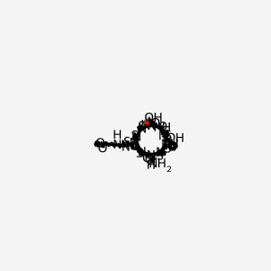 Cc1sc2nc1C(=O)N[C@@H]([C@H](O)c1ccccc1)c1nc(cs1)C(=O)NC(=O)N1C[C@H](O)[C@H](C)[C@H]1c1nc(cs1)-c1nc(cs1)-c1nc(-c3nc(CNCCCCC(=O)OC(C)(C)C)cs3)ccc1-c1nc(cs1)C(=O)N[C@H]2CC(N)=O